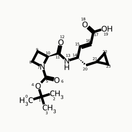 CC(C)(C)OC(=O)N1CC[C@H]1C(=O)N[C@H](C=CC(=O)O)CC1CC1